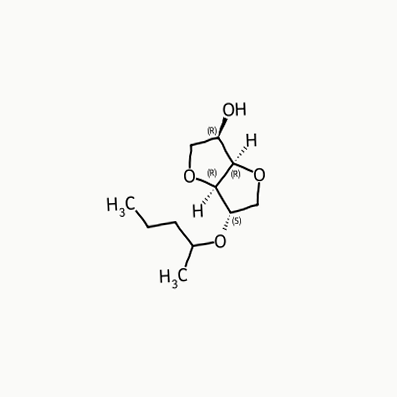 CCCC(C)O[C@H]1CO[C@H]2[C@@H]1OC[C@H]2O